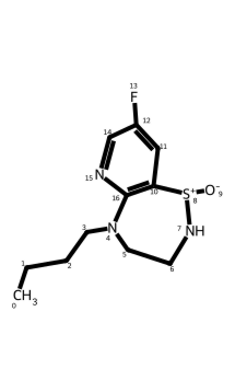 CCCCN1CCN[S+]([O-])c2cc(F)cnc21